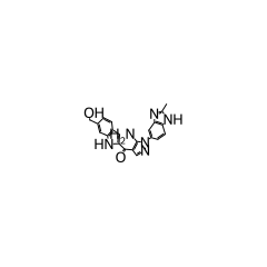 Cc1nc2cc(-n3ncc(C(=O)c4cc5ccc(CO)cc5[nH]4)c3N)ccc2[nH]1